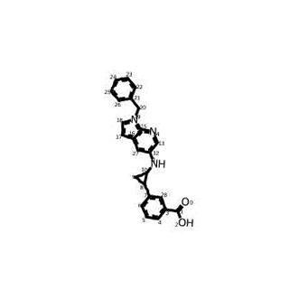 O=C(O)c1cccc(C2CC2Nc2cnc3c(ccn3Cc3ccccc3)c2)c1